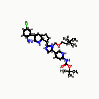 CC(C)(C)OC(=O)Nc1ccc(-c2cnc(C3CCc4cc(-c5cc(Cl)ccc5N)cnc43)n2COCC[Si](C)(C)C)cn1